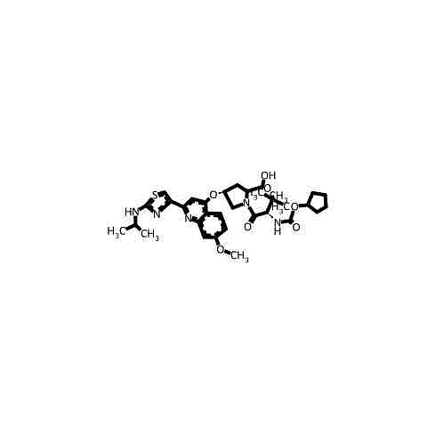 COc1ccc2c(O[C@@H]3CC(C(=O)O)N(C(=O)[C@@H](NC(=O)OC4CCCC4)C(C)(C)C)C3)cc(-c3csc(NC(C)C)n3)nc2c1